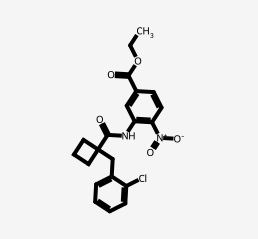 CCOC(=O)c1ccc([N+](=O)[O-])c(NC(=O)C2(Cc3ccccc3Cl)CCC2)c1